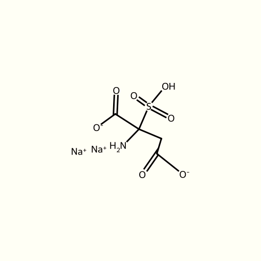 NC(CC(=O)[O-])(C(=O)[O-])S(=O)(=O)O.[Na+].[Na+]